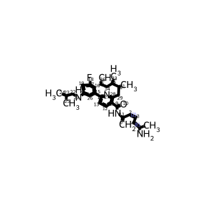 C=C(/C=C\C=C(/C)N)NC(=O)c1ccc(-c2cc(F)cc(NCC(C)C)c2)nc1CC(C)C(C)CCC